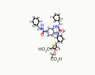 Cc1c(-c2cccc(N(C(=O)NCc3ccccc3)C3CCN(C(=O)NCc4ccccc4)CC3)c2)sc(C(=O)O)c1OCC(=O)O